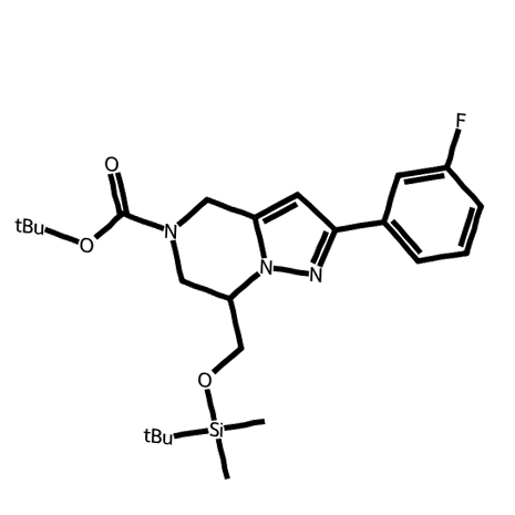 CC(C)(C)OC(=O)N1Cc2cc(-c3cccc(F)c3)nn2C(CO[Si](C)(C)C(C)(C)C)C1